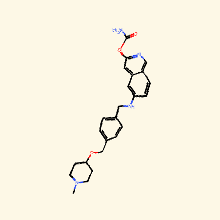 CN1CCC(OCc2ccc(CNc3ccc4cnc(OC(N)=O)cc4c3)cc2)CC1